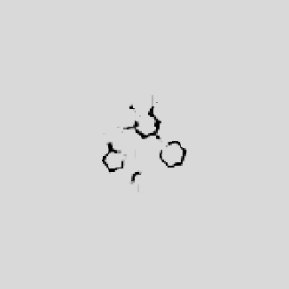 Nc1cc(N2CCCCC2)cc(N)[n+]1[O-].O=C1CC[C@@H](C(=O)O)N1